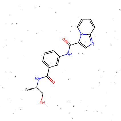 CC(C)[C@H](CO)NC(=O)c1cccc(NC(=O)c2cnc3ccccn23)c1